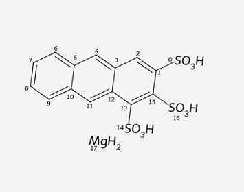 O=S(=O)(O)c1cc2cc3ccccc3cc2c(S(=O)(=O)O)c1S(=O)(=O)O.[MgH2]